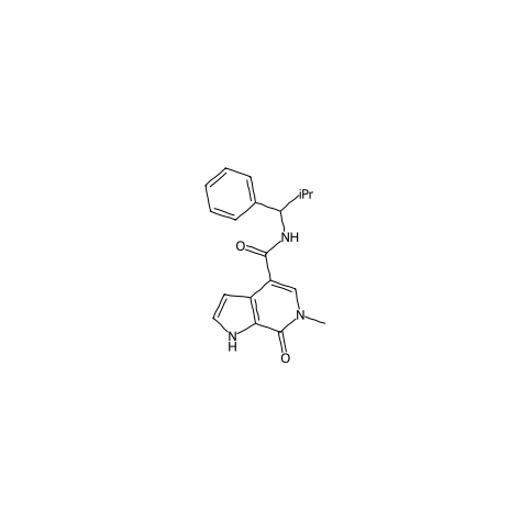 CC(C)C(NC(=O)c1cn(C)c(=O)c2[nH]ccc12)c1ccccc1